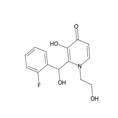 O=c1ccn(CCO)c(C(O)c2ccccc2F)c1O